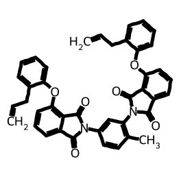 C=CCc1ccccc1Oc1cccc2c1C(=O)N(c1ccc(C)c(N3C(=O)c4cccc(Oc5ccccc5CC=C)c4C3=O)c1)C2=O